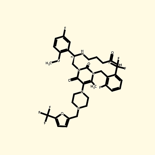 COc1ccc(F)cc1[C@H](Cn1c(=O)c(N2CCN(Cc3ccc(C(F)(F)F)o3)CC2)c(C)n(Cc2c(F)cccc2C(F)(F)F)c1=O)NCCCC(=O)O